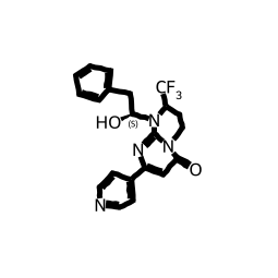 O=c1cc(-c2ccncc2)nc2n1CCC(C(F)(F)F)N2[C@@H](O)Cc1ccccc1